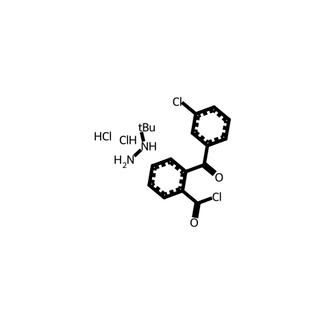 CC(C)(C)NN.Cl.Cl.O=C(Cl)c1ccccc1C(=O)c1cccc(Cl)c1